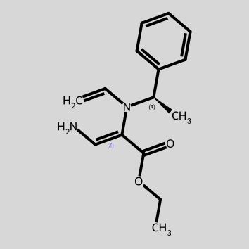 C=CN(/C(=C\N)C(=O)OCC)[C@H](C)c1ccccc1